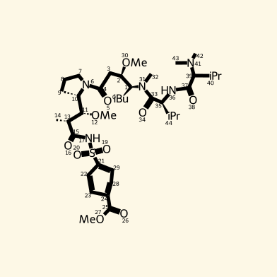 CC[C@H](C)[C@@H]([C@@H](CC(=O)N1CCC[C@H]1[C@H](OC)[C@@H](C)C(=O)NS(=O)(=O)c1ccc(C(=O)OC)cc1)OC)N(C)C(=O)[C@@H](NC(=O)C(C(C)C)N(C)C)C(C)C